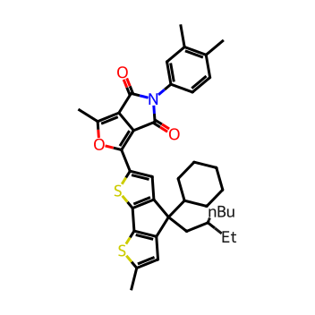 CCCCC(CC)CC1(C2CCCCC2)c2cc(C)sc2-c2sc(-c3oc(C)c4c3C(=O)N(c3ccc(C)c(C)c3)C4=O)cc21